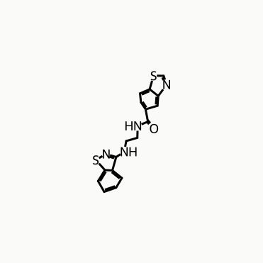 O=C(NCCNc1nsc2ccccc12)c1ccc2scnc2c1